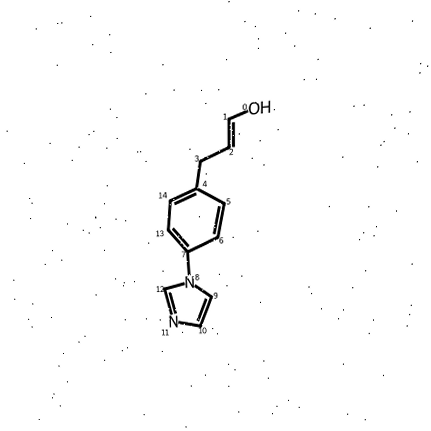 O/C=C/Cc1ccc(-n2ccnc2)cc1